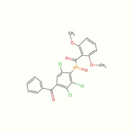 COc1cccc(OC)c1C(=O)[PH](=O)c1c(Cl)cc(C(=O)c2ccccc2)c(Cl)c1Cl